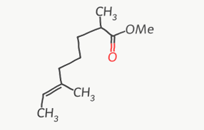 C/C=C(\C)CCCC(C)C(=O)OC